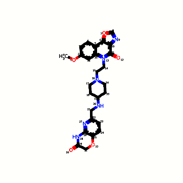 COc1ccc2c3ocnc3c(=O)n(CCN3CCC(NCc4ccc5c(n4)NC(=O)CO5)CC3)c2c1